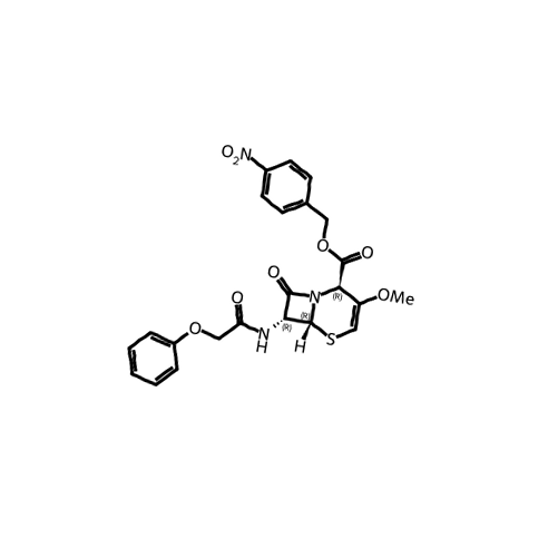 COC1=CS[C@@H]2[C@H](NC(=O)COc3ccccc3)C(=O)N2[C@H]1C(=O)OCc1ccc([N+](=O)[O-])cc1